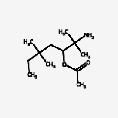 CCC(C)(C)CC(OC(C)=O)C(C)(C)N